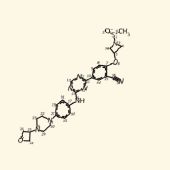 C[S+]([O-])N1CC(Oc2ccc(-c3ncnc(Nc4ccc(N5CCN(C6COC6)CC5)cc4)n3)cc2C#N)C1